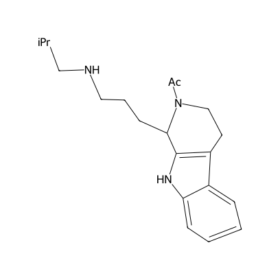 CC(=O)N1CCc2c([nH]c3ccccc23)C1CCCNCC(C)C